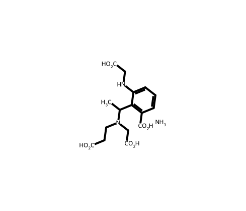 CC(c1c(NCC(=O)O)cccc1C(=O)O)N(CCC(=O)O)CC(=O)O.N